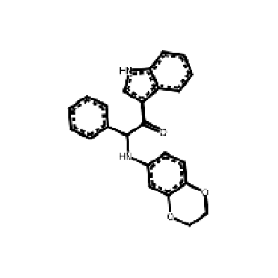 O=C(c1c[nH]c2ccccc12)C(Nc1ccc2c(c1)OCCO2)c1ccccc1